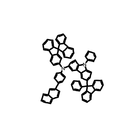 c1ccc(-n2c3ccc(N(c4ccc(-c5ccc6ccccc6c5)cc4)c4ccc5c(c4)C4(c6ccccc6-c6ccccc64)c4ccccc4-5)cc3c3cc(C4(c5ccccc5)c5ccccc5-c5ccccc54)ccc32)cc1